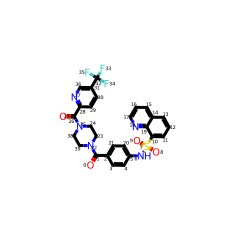 O=C(c1ccc(NS(=O)(=O)c2cccc3cccnc23)cc1)N1CCN(C(=O)c2ccc(C(F)(F)F)cn2)CC1